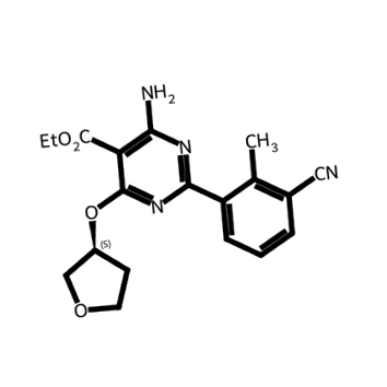 CCOC(=O)c1c(N)nc(-c2cccc(C#N)c2C)nc1O[C@H]1CCOC1